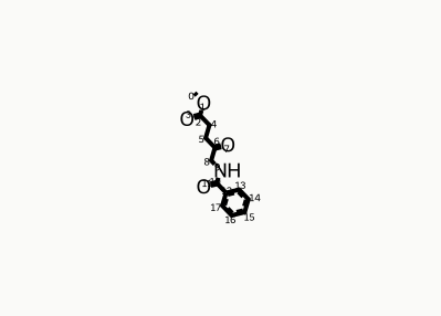 COC(=O)CCC(=O)CNC(=O)c1ccccc1